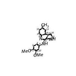 COc1ccc(Nc2nc3ccc(C)cc3c3cn[nH]c23)cc1OC